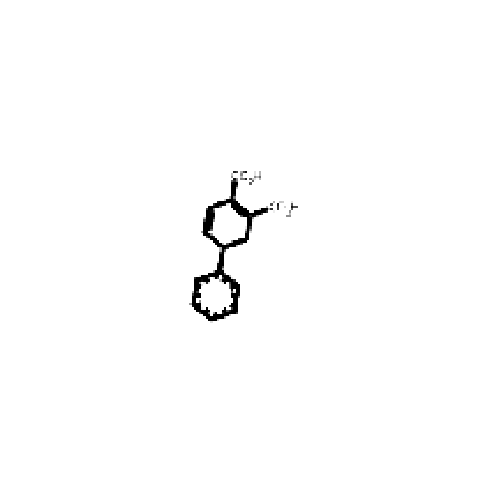 O=C(O)C1=C(C(=O)O)CC(c2ccccc2)C=C1